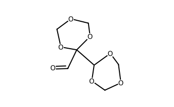 O=CC1(C2OCOCO2)OCOCO1